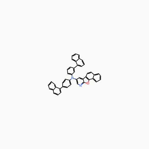 c1cc(-c2cccc3ccccc23)cc(N(c2ccc(-c3cccc4ccccc34)cc2)c2cnc3oc4c5ccccc5ccc4c3c2)c1